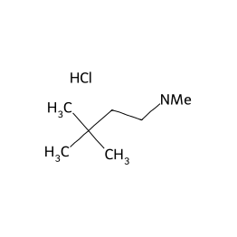 CNCCC(C)(C)C.Cl